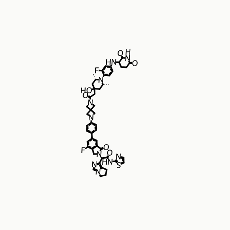 C[C@@H]1CC(O)(CC(=O)N2CC3(C2)CN(c2ccc(-c4cc(F)c5c(c4)C(=O)N(C(C(=O)Nc4nccs4)c4ncn6c4CCC6)C5)cc2)C3)C[C@H](C)N1c1ccc(NC2CCC(=O)NC2=O)cc1F